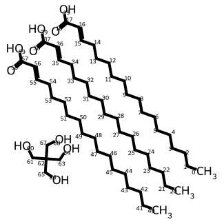 CCCCCCCCCCCCCCCC=CC(=O)O.CCCCCCCCCCCCCCCC=CC(=O)O.CCCCCCCCCCCCCCCC=CC(=O)O.OCC(CO)(CO)CO